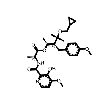 COc1ccc(C[C@@H]([C@H](C)OC(=O)[C@H](C)NC(=O)c2nccc(OC)c2O)C(C)(C)OCC2CC2)cc1